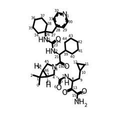 CC1(C)[C@@H]2[C@@H](C(=O)NC(CC3CC3)C(=O)C(N)=O)N(C(=O)[C@@H](NC(=O)NC3(Cc4ccncc4)CCCCC3)C3CCCCC3)C[C@@H]21